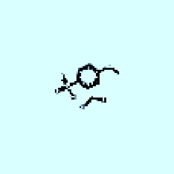 COc1ccc(S(=O)(=O)Cl)cc1.ClCCl